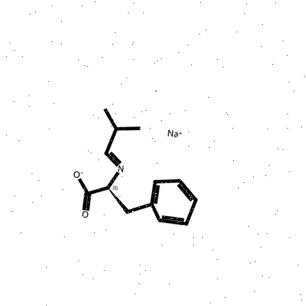 CC(C)C=N[C@@H](Cc1ccccc1)C(=O)[O-].[Na+]